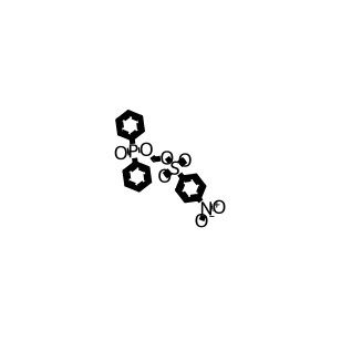 O=[N+]([O-])c1ccc(S(=O)(=O)OCOP(=O)(c2ccccc2)c2ccccc2)cc1